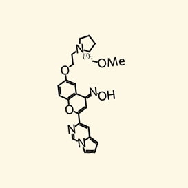 COC[C@H]1CCCN1CCOc1ccc2oc(-c3cc4cccn4cn3)cc(=NO)c2c1